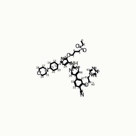 CCS(=O)(=O)CCCOc1nn([C@H]2CC[C@H](N3CCOCC3)CC2)cc1Nc1ncc(-c2ccc(C#N)c(O[C@@H](C)Cn3cnnn3)c2)cn1